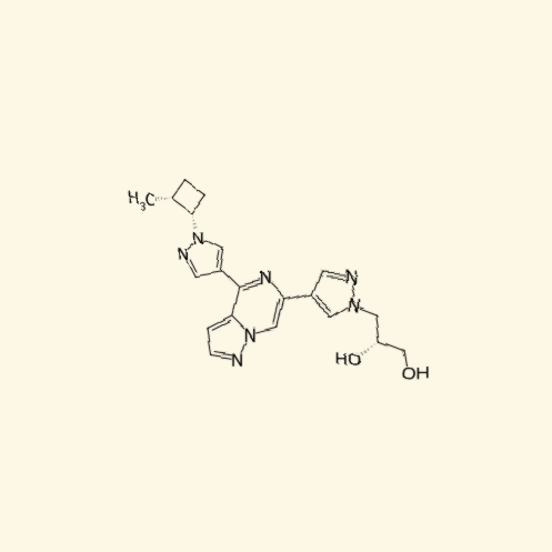 C[C@@H]1CC[C@@H]1n1cc(-c2nc(-c3cnn(C[C@@H](O)CO)c3)cn3nccc23)cn1